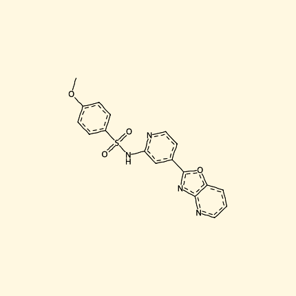 COc1ccc(S(=O)(=O)Nc2cc(-c3nc4ncccc4o3)ccn2)cc1